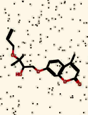 C=CCOC(C)(C)C(O)COc1ccc2c(C)cc(=O)oc2c1